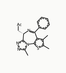 CC(=O)C[C@@H]1N=C(c2ccccc2)c2c(sc(C)c2C)-n2c(C)nnc21